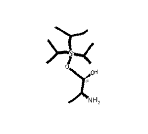 CC(N)[C@H](O)O[Si](C(C)C)(C(C)C)C(C)C